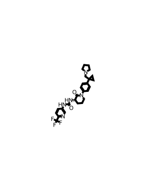 O=C(Nc1ccc(C(F)(F)F)nc1)N[C@@H]1CCCN(c2ccc(C3(CN4CCCC4)CC3)cc2)C1=O